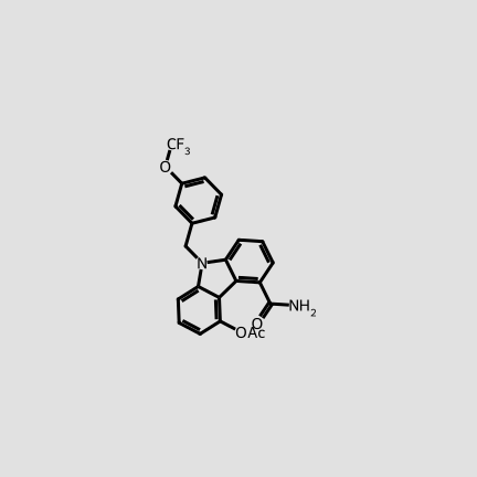 CC(=O)Oc1cccc2c1c1c(C(N)=O)cccc1n2Cc1cccc(OC(F)(F)F)c1